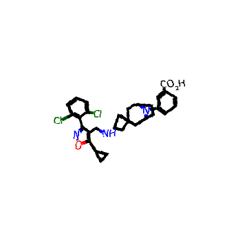 O=C(O)c1cccc(N2C3CCC2CC2(CC(NCc4c(-c5c(Cl)cccc5Cl)noc4C4CC4)C2)C3)c1